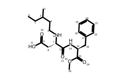 CCC(C)CCN[C@@H](CC(=O)O)C(=O)N[C@@H](Cc1ccccc1)C(=O)OC